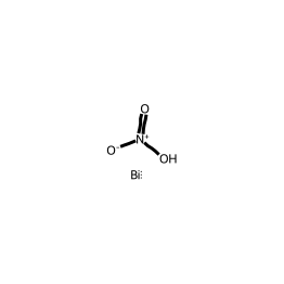 O=[N+]([O-])O.[Bi]